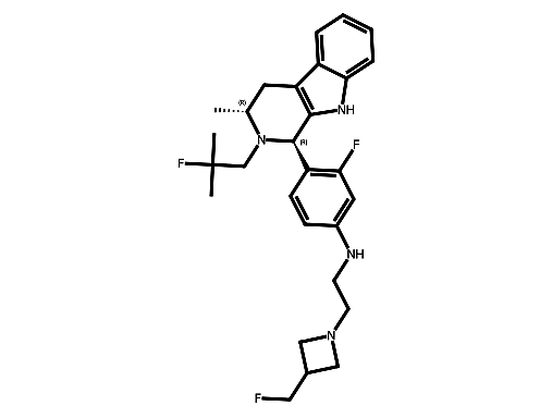 C[C@@H]1Cc2c([nH]c3ccccc23)[C@@H](c2ccc(NCCN3CC(CF)C3)cc2F)N1CC(C)(C)F